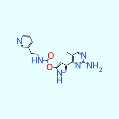 Cc1cnc(N)nc1-c1c[nH]c(OC(=O)NCCc2cccnc2)c1